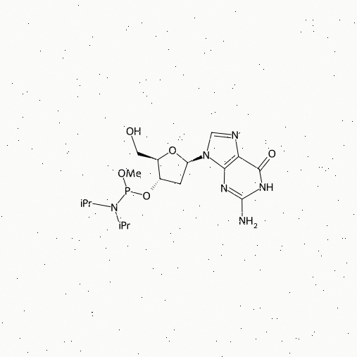 COP(O[C@H]1C[C@H](n2cnc3c(=O)[nH]c(N)nc32)O[C@@H]1CO)N(C(C)C)C(C)C